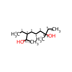 CCC(CCCC(C)(O)CC)C(C)O